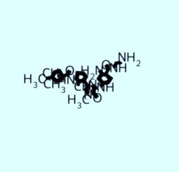 Cc1c(NC(=O)c2ccc(C(C)(C)C)cc2)cccc1-c1cn(C)c(=O)c(Nc2ccc(C(=O)NCCN)c(N)c2)n1